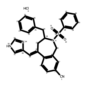 Cl.N#Cc1ccc2c(c1)CN(S(=O)(=O)c1ccccc1)C(Cc1ccccc1)CC2=Cc1c[nH]cn1